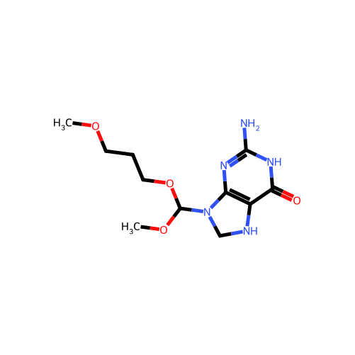 COCCCOC(OC)N1CNc2c1nc(N)[nH]c2=O